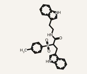 Cc1ccc(S(=O)(=O)C(Cc2c[nH]c3ccccc23)C(=O)NCCc2c[nH]c3ccccc23)cc1